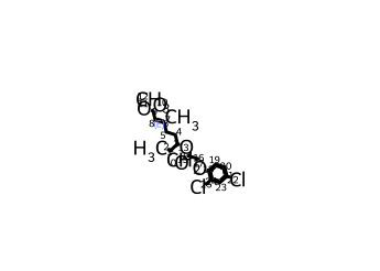 C=C(C)C(CC/C(C)=C/C(=O)OC)OC(=O)COc1ccc(Cl)cc1Cl